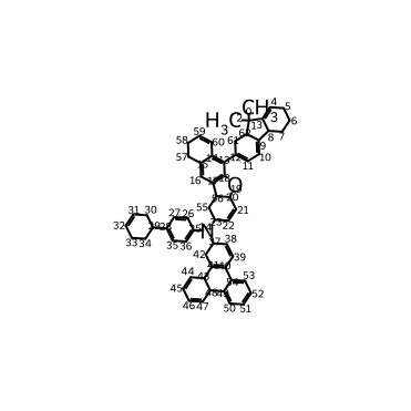 CC1(C)C2=CCCCC2C2=CC=C(c3c4c(cc5c3OC3C=CC(N(c6ccc(C7CC=CCC7)cc6)C6C=CC7=C(C6)C6C=CC=CC6c6ccccc67)CC53)CCC=C4)CC21